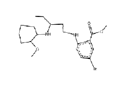 CCC(CCNc1ncc(Br)cc1C(=O)OC)NC1CCCCC1OC